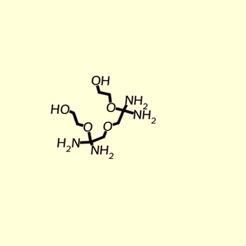 NC(N)(COCC(N)(N)OCCO)OCCO